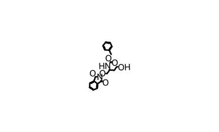 O=C(NC(CCO)CON1C(=O)c2ccccc2C1=O)OCc1ccccc1